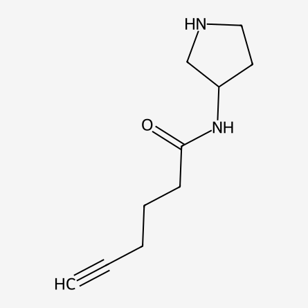 C#CCCCC(=O)NC1CCNC1